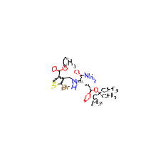 COC(=O)c1csc(Br)c1CN[C@@H](CCC(=O)OC(C)(C)C)C(N)=O